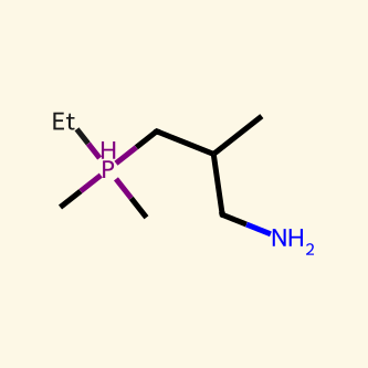 CC[PH](C)(C)CC(C)CN